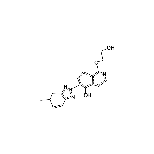 OCCOc1nccc2c(O)c(-n3nc4c(n3)CC(I)C=C4)ccc12